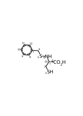 O=C(O)[C@@H](CS)NSCc1ccccc1